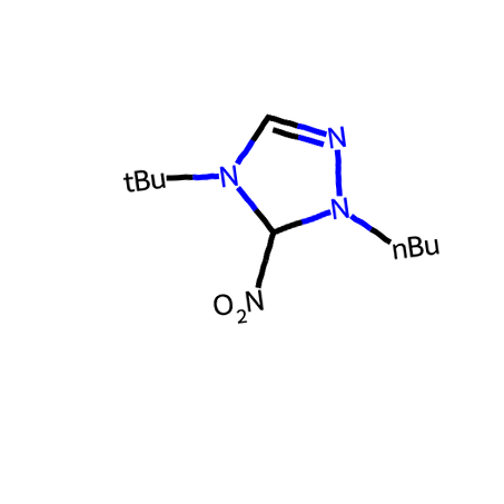 CCCCN1N=CN(C(C)(C)C)C1[N+](=O)[O-]